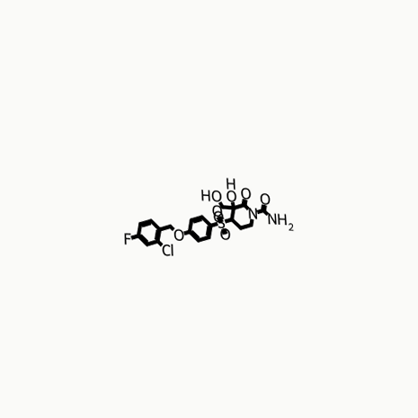 NC(=O)N1CCC(S(=O)(=O)c2ccc(OCc3ccc(F)cc3Cl)cc2)C(O)(C(=O)O)C1=O